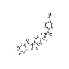 C[C@@H](NC(=O)c1ccc(C#N)cc1)c1ccc2c(c1)CCN2C(=O)C1CCC(F)(F)CC1